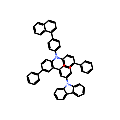 c1ccc(-c2ccc(N(c3ccc(-c4cccc5ccccc45)cc3)c3ccc(-c4ccccc4)cc3-c3cccc(-n4c5ccccc5c5ccccc54)c3)cc2)cc1